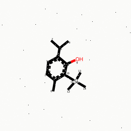 Cc1ccc(C(C)C)c(O)c1[Si](C)(C)C